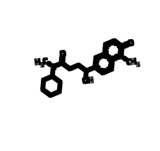 CN(C(=O)CCC(O)c1ccc2c(ccc(=O)n2C)c1)C1CCCCC1